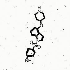 Nc1ccc(S(=O)(=O)n2ccc3c(OC4CCNCC4)cccc32)cc1